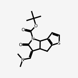 CN(C)/C=C1\C(=O)N(C(=O)OC(C)(C)C)C2c3ccsc3CC12